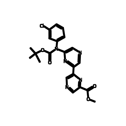 COC(=O)c1cncc(-c2cncc(N(C(=O)OC(C)(C)C)c3cccc(Cl)c3)n2)n1